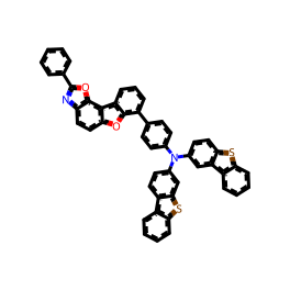 c1ccc(-c2nc3ccc4oc5c(-c6ccc(N(c7ccc8c(c7)sc7ccccc78)c7ccc8sc9ccccc9c8c7)cc6)cccc5c4c3o2)cc1